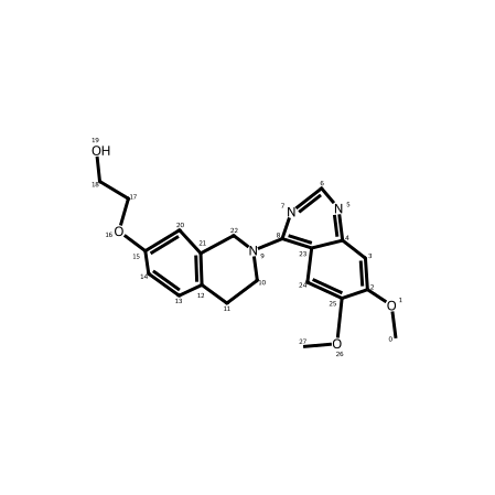 COc1cc2ncnc(N3CCc4ccc(OCCO)cc4C3)c2cc1OC